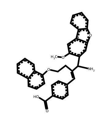 COc1cc2c(cc1C(N)/C(=C/c1ccc(C(=O)O)cc1)CCOc1cccc3ccccc13)oc1ccccc12